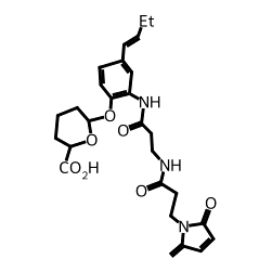 C=C1C=CC(=O)N1CCC(=O)NCCC(=O)Nc1cc(/C=C/CC)ccc1OC1CCCC(C(=O)O)O1